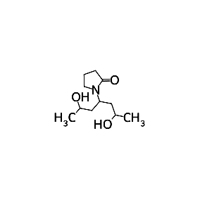 CC(O)CC(CC(C)O)N1CCCC1=O